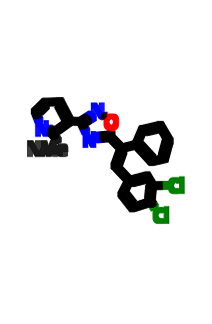 CNc1ncccc1-c1noc(C(=Cc2ccc(Cl)c(Cl)c2)c2ccccc2)n1